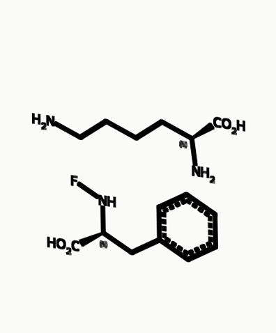 NCCCC[C@H](N)C(=O)O.O=C(O)[C@H](Cc1ccccc1)NF